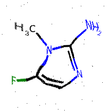 Cn1c(F)cnc1N